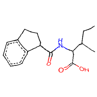 CCC(C)C(NC(=O)C1CCc2ccccc21)C(=O)O